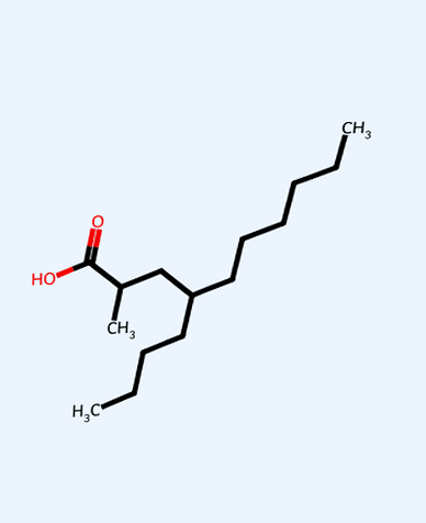 CCCCCCC(CCCC)CC(C)C(=O)O